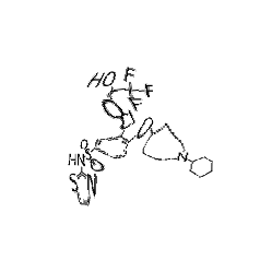 O=C(O)C(F)(F)F.O=S(=O)(Nc1nccs1)c1ccc(OC2CCN(C3CCCCC3)CC2)c(Cl)c1